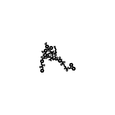 C#CCCOP(OC1C[C@H](n2ccc(NC(=O)CCCN(C)C(=O)OCC3c4ccccc4-c4ccccc43)nc2=O)O[C@@H]1COP(OCCC#N)OC(C)[C@@H](COC(c1ccccc1)(c1ccc(OC)cc1)c1ccc(OC)cc1)OCn1cnc2c(NC(=O)c3ccc(CNC(=O)Cc4ccccc4)cc3)ncnc21)N(C(C)C)C(C)C